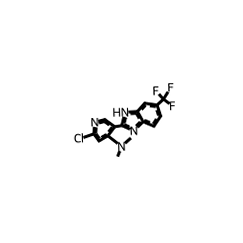 CN(C)c1cc(Cl)ncc1-c1nc2ccc(C(F)(F)F)cc2[nH]1